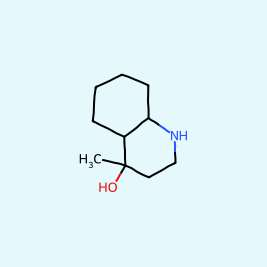 CC1(O)CCNC2CCCCC21